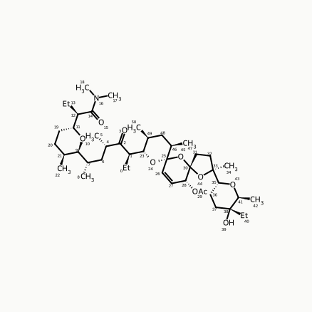 CC[C@@H](C(=O)[C@@H](C)C[C@H](C)[C@@H]1O[C@@H]([C@@H](CC)C(=O)N(C)C)CC[C@@H]1C)[C@H]1O[C@]2(C=C[C@@H](OC(C)=O)[C@]3(CC[C@@](C)([C@H]4CC[C@](O)(CC)[C@H](C)O4)O3)O2)[C@H](C)C[C@@H]1C